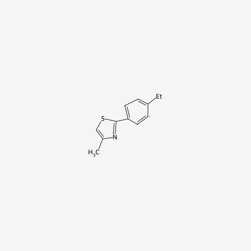 CCc1[c]cc(-c2nc(C)cs2)cc1